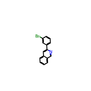 Brc1cccc(-c2cc3ccccc3cn2)c1